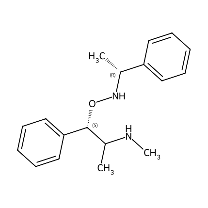 CNC(C)[C@@H](ON[C@H](C)c1ccccc1)c1ccccc1